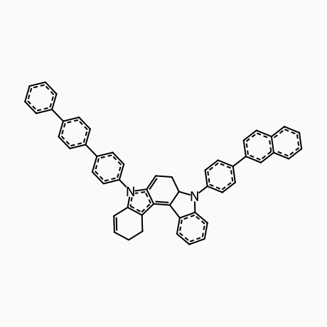 C1=Cc2c(c3c(n2-c2ccc(-c4ccc(-c5ccccc5)cc4)cc2)=CCC2C=3c3ccccc3N2c2ccc(-c3ccc4ccccc4c3)cc2)CC1